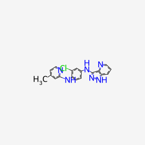 Cc1ccnc(Nc2ccc(Nc3n[nH]c4cccnc34)cc2Cl)c1